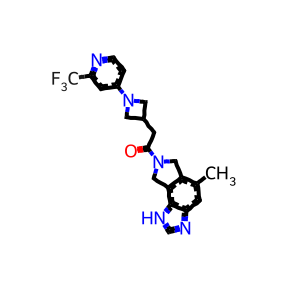 Cc1cc2nc[nH]c2c2c1CN(C(=O)CC1CN(c3ccnc(C(F)(F)F)c3)C1)C2